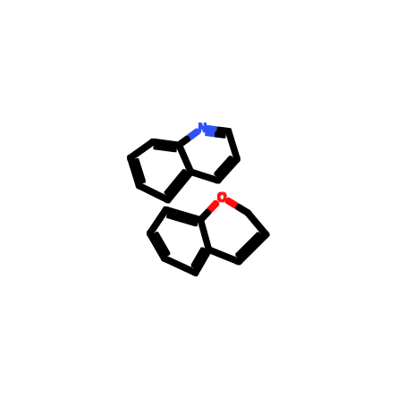 C1=Cc2ccccc2OC1.c1ccc2ncccc2c1